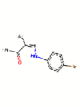 CCCC(=O)/C(=C\Nc1ccc(Br)cc1)C(C)=O